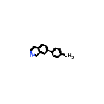 Cc1ccc(-c2ccc3ccncc3c2)cc1